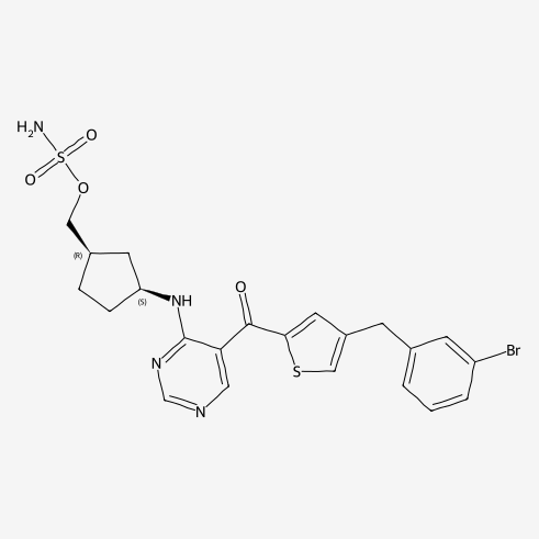 NS(=O)(=O)OC[C@@H]1CC[C@H](Nc2ncncc2C(=O)c2cc(Cc3cccc(Br)c3)cs2)C1